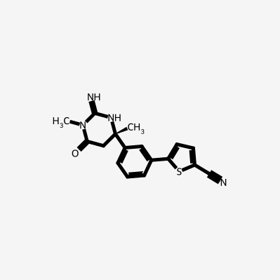 CN1C(=N)N[C@](C)(c2cccc(-c3ccc(C#N)s3)c2)CC1=O